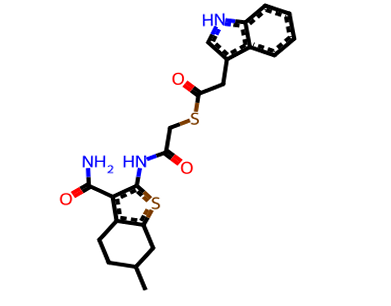 CC1CCc2c(sc(NC(=O)CSC(=O)Cc3c[nH]c4ccccc34)c2C(N)=O)C1